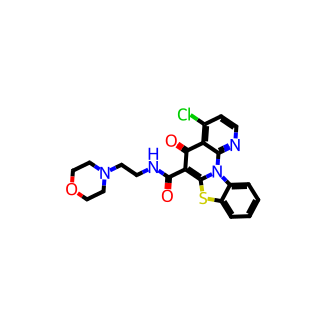 O=C(NCCN1CCOCC1)c1c(=O)c2c(Cl)ccnc2n2c1sc1ccccc12